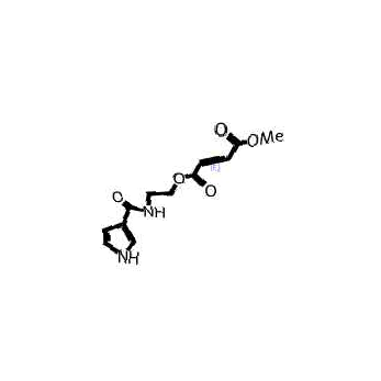 COC(=O)/C=C/C(=O)OCCNC(=O)c1cc[nH]c1